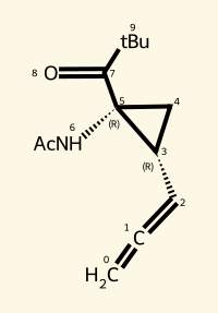 C=C=C[C@H]1C[C@]1(NC(C)=O)C(=O)C(C)(C)C